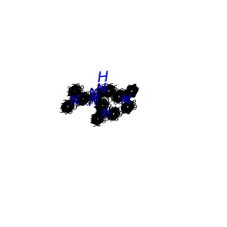 c1ccc(-n2c3ccccc3c3cc(-c4ccc5[nH]c6nc(-c7ccc8c(c7)c7ccccc7n8-c7ccccc7)nc(-c7ccc8c(c7)c7ccccc7n8-c7ccccc7)c6c5c4)ccc32)cc1